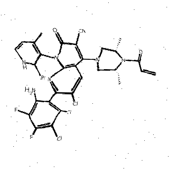 C=CC(=O)N1[C@H](C)CN(c2c(C#N)c(=O)n(C3=C(C)C=CNC3C(C)C)c3nc(-c4c(N)c(F)c(F)c(Cl)c4Cl)c(Cl)cc23)C[C@@H]1C